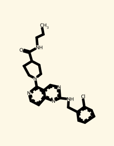 CCCNC(=O)C1CCN(c2nccc3nc(NCc4ccccc4Cl)ncc23)CC1